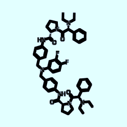 CCN(CC)[C@@H](C(=O)N1CCC[C@H]1C(=O)Nc1ccc(CN(Cc2ccc(NC(=O)[C@@H]3CCCN3C(=O)[C@@H](c3ccccc3)N(CC)CC)cc2)c2ccc(F)c(F)c2)cc1)c1ccccc1